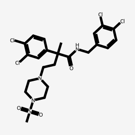 CC(CCN1CCN(S(C)(=O)=O)CC1)(C(=O)NCc1ccc(Cl)c(Cl)c1)c1ccc(Cl)c(Cl)c1